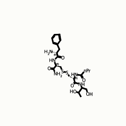 CCCC(=O)N[C@@H](CSSC[C@H](NC(=O)[C@H](N)Cc1ccccc1)C(N)=O)C(=O)NC(CO)C(C)O